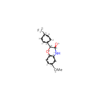 COc1ccc2c(c1)NC(=O)C(c1ccc(C(F)(F)F)cc1)O2